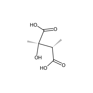 C[C@H](C(=O)O)[C@@](C)(O)C(=O)O